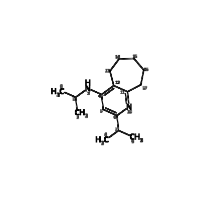 CC(C)Nc1cc(C(C)C)nc2c1CCCCC2